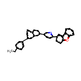 CCc1ccc(-c2ccc3ccc(-c4ccc(-c5ccc6oc7ccccc7c6c5)nc4)cc3c2)cc1